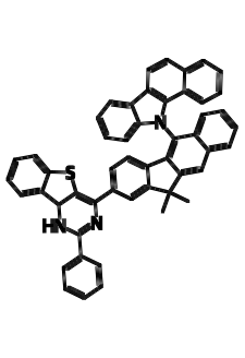 CC1(C)c2cc(C3=C4Sc5ccccc5C4NC(c4ccccc4)=N3)ccc2-c2c1cc1ccccc1c2-n1c2ccccc2c2ccc3ccccc3c21